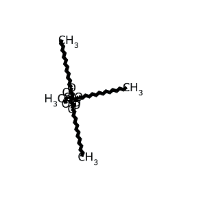 CCCCCCCCCCCCCCOC(=O)CC(CC(=O)OCCCCCCCCCCCCCC)(OC(C)=O)C(=O)OCCCCCCCCCCCCCC